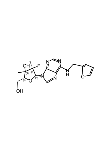 C[C@]1(O)[C@@H](CO)O[C@H](n2cnc3c(NCc4ccco4)ncnc32)[C@]1(C)F